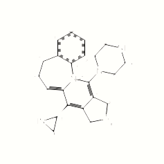 C1=C2C([C@H]3CN3)=C3COCC3=C(N3CCNCC3)N2c2ccccc2CC1